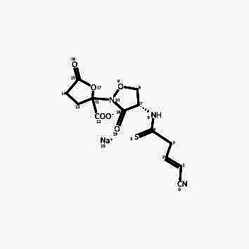 N#C/C=C/CC(=S)N[C@H]1CON(C2(C(=O)[O-])CCC(=O)O2)C1=O.[Na+]